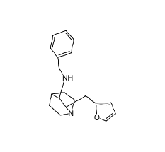 c1ccc(CNC2C3CCN(CC3)C2Cc2ccco2)cc1